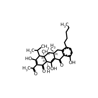 CCCCCc1ccc(O)c2c1C[C@]1(C)C[C@]3(C)C(C(C)C)C(O)=C(C(C)=O)C(=O)[C@]3(O)C(O)=C1C2=O